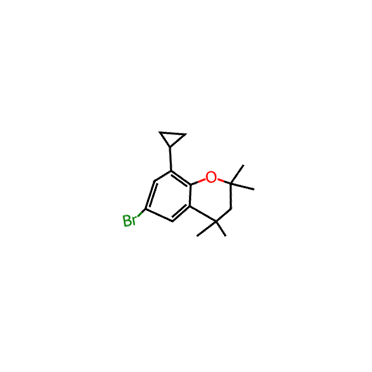 CC1(C)CC(C)(C)c2cc(Br)cc(C3CC3)c2O1